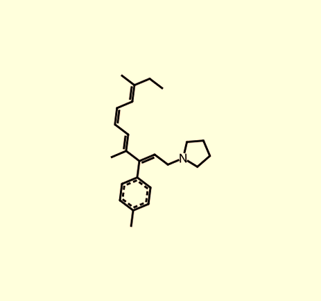 CC/C(C)=C/C=C\C=C(C)\C(=C\CN1CCCC1)c1ccc(C)cc1